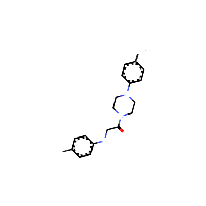 COc1ccc(N2CCN(C(=O)CNc3ccc(C(C)C)cc3)CC2)cc1